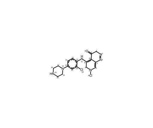 O=C1CN=NC2=CN(Cl)CC(Nc3ccc(N4CCNCC4)cc3Cl)=C12